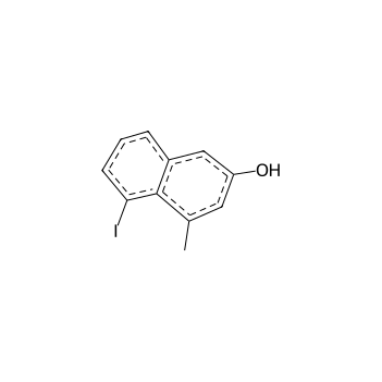 Cc1cc(O)cc2cccc(I)c12